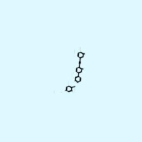 CCCCc1cc(F)c(C(F)(F)Oc2ccc(-c3cc(F)c(C#Cc4cc(F)c(F)c(F)c4)c(F)c3)c(F)c2)c(F)c1